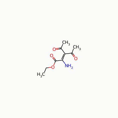 CCOC(=O)C(N)=C(C(C)=O)C(C)=O